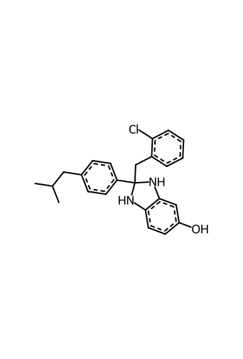 CC(C)Cc1ccc(C2(Cc3ccccc3Cl)Nc3ccc(O)cc3N2)cc1